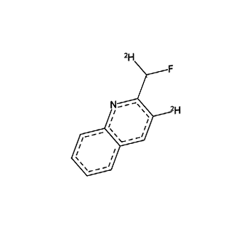 [2H][C](F)c1nc2ccccc2cc1[2H]